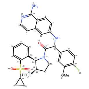 COc1cc([C@@H](Nc2ccc3c(N)nccc3c2)C(=O)N2CC[C@@H](C(=O)O)[C@H]2c2ccccc2S(=O)(=O)C2CC2)ccc1F